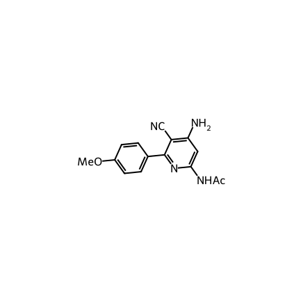 COc1ccc(-c2nc(NC(C)=O)cc(N)c2C#N)cc1